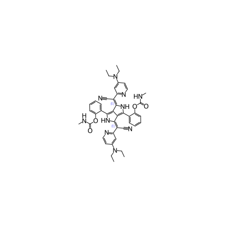 CCN(CC)c1ccnc(/C(C#N)=c2\[nH]c(-c3ccccc3OC(=O)NC)c3/c(=C(\C#N)c4cc(N(CC)CC)ccn4)[nH]c(-c4ccccc4OC(=O)NC)c23)c1